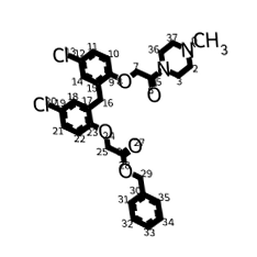 CN1CCN(C(=O)COc2ccc(Cl)cc2Cc2cc(Cl)ccc2OCC(=O)OCc2ccccc2)CC1